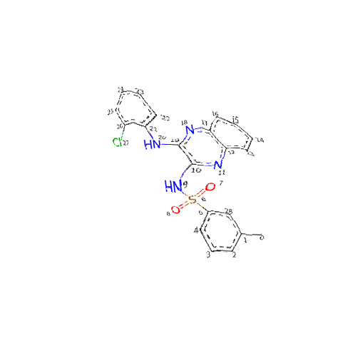 Cc1cccc(S(=O)(=O)Nc2nc3ccccc3nc2Nc2ccccc2Cl)c1